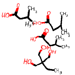 CC(C)CC(=O)O.CC(C)CC(=O)O.CC(C)CC(=O)O.CCC(CO)(CO)CO